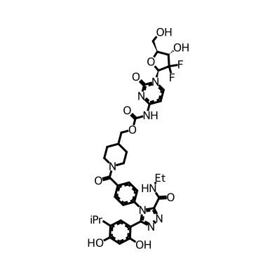 CCNC(=O)c1nnc(-c2cc(C(C)C)c(O)cc2O)n1-c1ccc(C(=O)N2CCC(COC(=O)Nc3ccn([C@H]4O[C@@H](CO)[C@H](O)C4(F)F)c(=O)n3)CC2)cc1